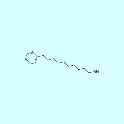 SCCCCCCCCCCc1ccccn1